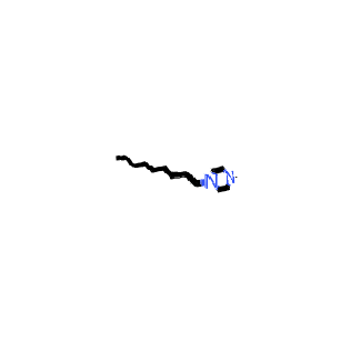 CCCCCCCCCN1CC[N]CC1